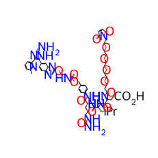 Cc1cccc(-c2nc(CN)[nH]c2-c2ccc3ncc(OCCNC(=O)OCc4ccc(NC(=O)[C@H](CCCNC(N)=O)NC(=O)[C@H](CC(C)C)NC(=O)[C@H](CCC(=O)O)NC(=O)CCOCCOCCOCCOCCN5C(=O)C=CC5=O)cc4)nc3c2)n1